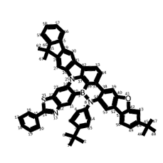 CC(C)(C)c1ccc(N2B3c4cc5nc(-c6ccccc6)sc5cc4-n4c5cc6c(cc5c5ccc(c3c54)-c3cc4oc5cc(C(C)(C)C)ccc5c4cc32)-c2ccccc2C6(C)C)cc1